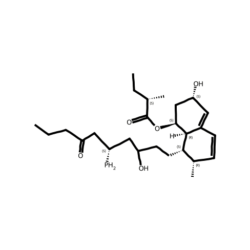 CCCC(=O)C[C@@H](P)CC(O)CC[C@@H]1[C@@H]2C(=C[C@@H](O)C[C@@H]2OC(=O)[C@@H](C)CC)C=C[C@@H]1C